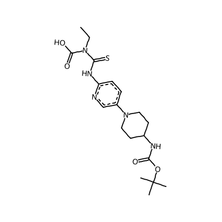 CCN(C(=O)O)C(=S)Nc1ccc(N2CCC(NC(=O)OC(C)(C)C)CC2)cn1